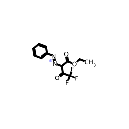 CCOC(=O)C(/N=N/c1ccccc1)C(=O)C(F)(F)F